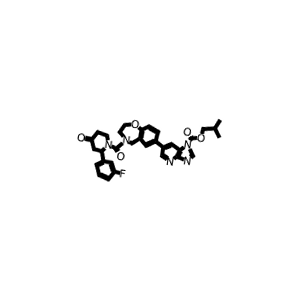 CC(C)COC(=O)n1cnc2ncc(-c3ccc4c(c3)CN(C(=O)N3CCC(=O)CC3c3cccc(F)c3)CCO4)cc21